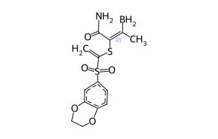 B/C(C)=C(/SC(=C)S(=O)(=O)c1ccc2c(c1)OCCO2)C(N)=O